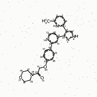 Cc1cccc(-c2c[nH]nc2-c2ccnc(-c3ccc(OCC(=O)N4CCOCC4)cc3)c2)n1